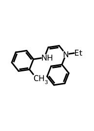 CCN(/C=C\Nc1ccccc1C)c1ccccc1